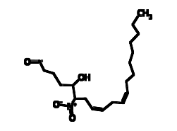 CCCCCCCC/C=C\C/C=C\CC(C(O)CCC[C]=O)[N+](=O)[O-]